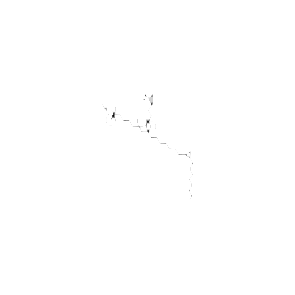 CCCCCCCCC1CC1CCCCCCCC(CCCCCCC(=O)OCC)OC(=O)CCCN(C)C